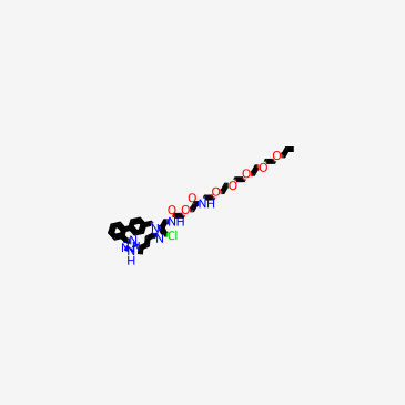 CCCCc1nc(Cl)c(CNC(=O)COCC(=O)NCCOCCOCCOCCOCCOCCC)n1Cc1ccc(-c2ccccc2-c2nn[nH]n2)cc1